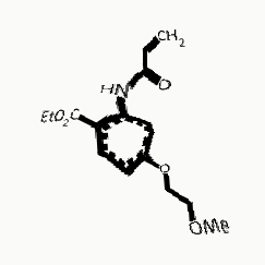 C=CC(=O)Nc1cc(OCCOC)ccc1C(=O)OCC